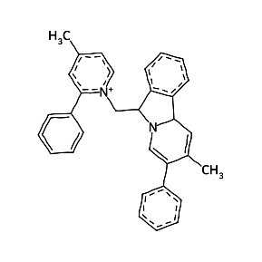 CC1=CC2c3ccccc3C(C[n+]3ccc(C)cc3C3=C=C=CC=C3)N2C=C1c1ccccc1